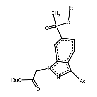 CCOP(C)(=O)c1ccc2c(C(C)=O)nn(CC(=O)OCC(C)C)c2c1